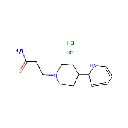 Cl.Cl.NC(=O)CCN1CCC(C2C=CC=CN2)CC1